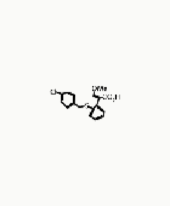 COC=C(C(=O)O)c1ccccc1SCc1ccc(Cl)cc1